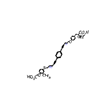 CCOC(Cc1ccc(OC/C=C/C#Cc2ccc(C#C/C=C/CSc3ccc(OCC(=O)O)c(C)c3)cc2)cc1)C(=O)O